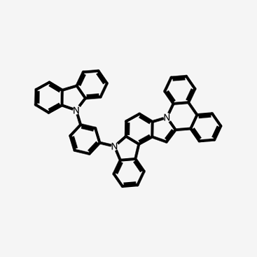 c1cc(-n2c3ccccc3c3ccccc32)cc(-n2c3ccccc3c3c4cc5c6ccccc6c6ccccc6n5c4ccc32)c1